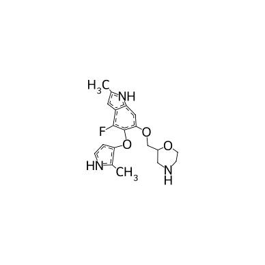 Cc1cc2c(F)c(Oc3cc[nH]c3C)c(OCC3CNCCO3)cc2[nH]1